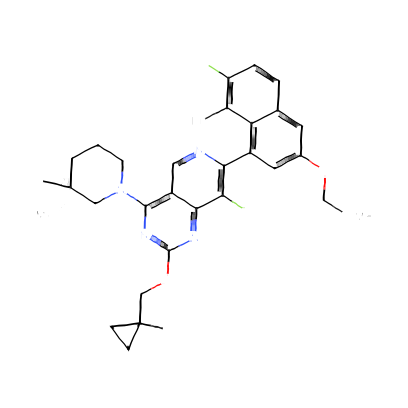 CCc1c(F)ccc2cc(OCOC)cc(-c3ncc4c(N5CCC[C@@](C)(OC)C5)nc(OCC5(C=O)CC5)nc4c3F)c12